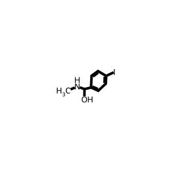 CNC(O)c1ccc(I)cc1